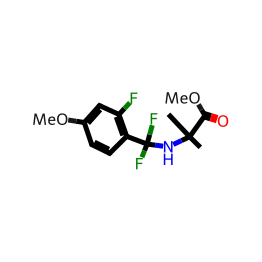 COC(=O)C(C)(C)NC(F)(F)c1ccc(OC)cc1F